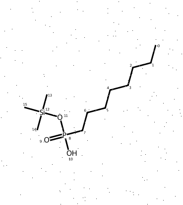 CCCCCCCCP(=O)(O)O[Si](C)(C)C